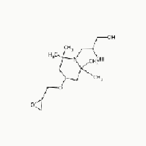 CC1(C)CC(OCC2CO2)CC(C)(C)N1CC(O)CO